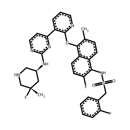 Cc1ccc2c(NS(=O)(=O)Cc3ccccc3F)c(F)ccc2c1Oc1ncccc1-c1ccnc(N[C@@H]2CNC[C@@](C)(F)C2)n1